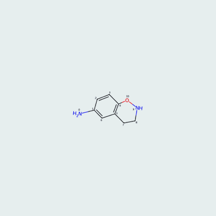 Nc1ccc2c(c1)CCNO2